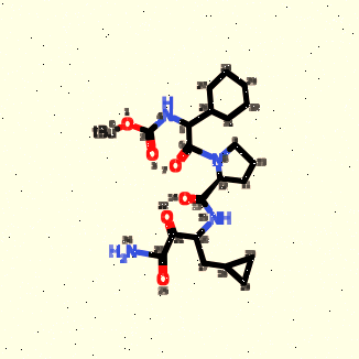 CC(C)(C)OC(=O)NC(C(=O)N1CCC[C@H]1C(=O)NC(CC1CC1)C(=O)C(N)=O)C1CCCCC1